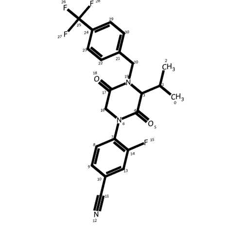 CC(C)C1C(=O)N(c2ccc(C#N)cc2F)CC(=O)N1Cc1ccc(C(F)(F)F)cc1